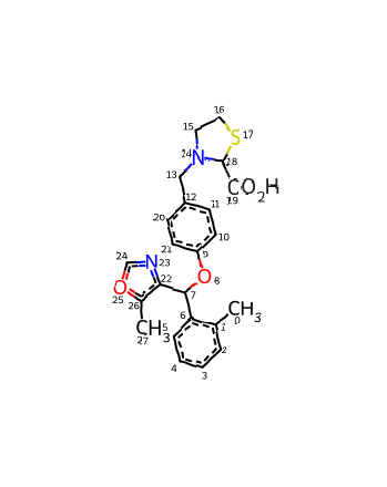 Cc1ccccc1C(Oc1ccc(CN2CCSC2C(=O)O)cc1)c1ncoc1C